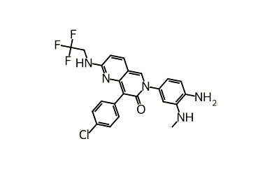 CNc1cc(-n2cc3ccc(NCC(F)(F)F)nc3c(-c3ccc(Cl)cc3)c2=O)ccc1N